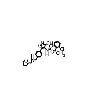 Cc1noc(-c2ccc(CNCC3CCCO3)cc2)c1NC(=O)OC(C)c1ccccc1Cl